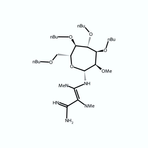 CCCCOC[C@H]1O[C@@H](N/C(NC)=C(\NC)C(=N)N)[C@H](OC)[C@H](OCCCC)[C@@H](OCCCC)[C@@H]1OCCCC